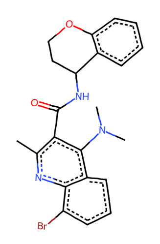 Cc1nc2c(Br)cccc2c(N(C)C)c1C(=O)NC1CCOc2ccccc21